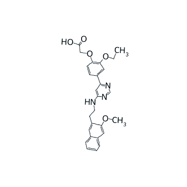 CCOc1cc(-c2cc(NCCc3cc4ccccc4cc3OC)ncn2)ccc1OCC(=O)O